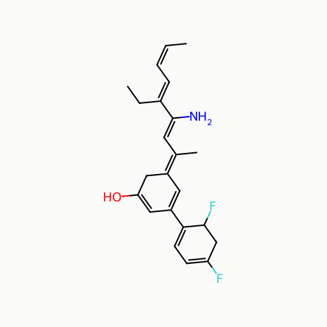 C\C=C/C=C(CC)/C(N)=C/C(C)=C1/C=C(C2=CC=C(F)CC2F)C=C(O)C1